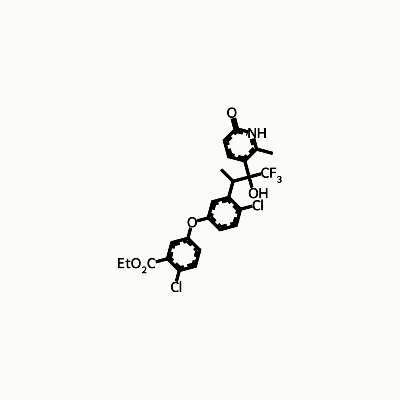 CCOC(=O)c1cc(Oc2ccc(Cl)c(C(C)C(O)(c3ccc(=O)[nH]c3C)C(F)(F)F)c2)ccc1Cl